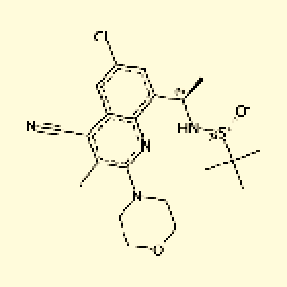 Cc1c(N2CCOCC2)nc2c([C@@H](C)N[S@+]([O-])C(C)(C)C)cc(Cl)cc2c1C#N